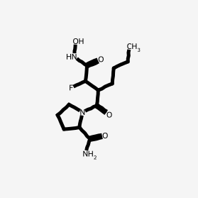 CCCCC(C(=O)N1CCCC1C(N)=O)C(F)C(=O)NO